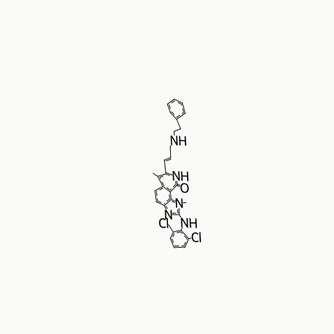 Cc1c(C=CCNCCc2ccccc2)[nH]c(=O)c2c1ccc1nc(Nc3c(Cl)cccc3Cl)n(C)c12